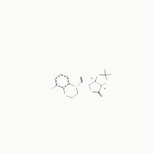 Cc1cccc2c1OCCN2C(=O)[C@H]1NC(=O)[C@H]2OC(C)(C)O[C@@H]12